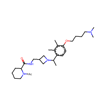 CC(=O)N1CCCCC1C(=O)NCC1CN(C(C)c2ccc(OCCCCN(C)C)c(C)c2C)C1